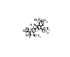 CC(C)c1nc(N2CCN(C(=O)c3cocn3)[C@H](C(C)C)C2)c(N)c2c1COC(C)(C)C2